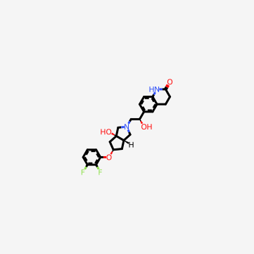 O=C1CCc2cc([C@@H](O)CN3C[C@@H]4C[C@@H](Oc5cccc(F)c5F)C[C@]4(O)C3)ccc2N1